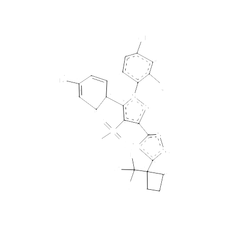 CS(=O)(=O)c1c(-c2nnc(C3(C(F)(F)F)CCC3)s2)nn(-c2ccc(Cl)cc2Cl)c1C1C=CC(Br)=CC1